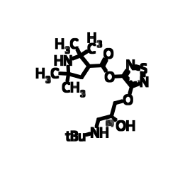 CC(C)(C)NC[C@H](O)COc1nsnc1OC(=O)C1CC(C)(C)NC1(C)C